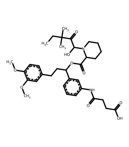 CCC(C)(C)C(=O)C(O)N1CCCCC1C(=O)OC(CCc1ccc(OC)c(OC)c1)c1cccc(NC(=O)CCC(=O)O)c1